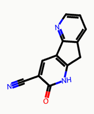 N#Cc1cc2c([nH]c1=O)Cc1cccnc1-2